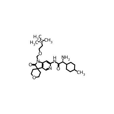 CC1CCC([C@H](N)C(=O)Nc2cc3c(cn2)C2(CCOCC2)C(=O)N3COCC[Si](C)(C)C)CC1